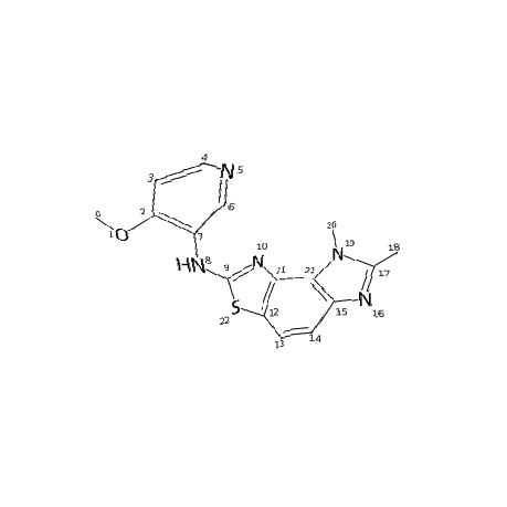 COc1ccncc1Nc1nc2c(ccc3nc(C)n(C)c32)s1